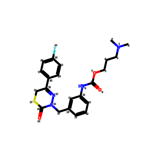 CN(C)CCCOC(=O)Nc1cccc(CN2N=C(c3ccc(F)cc3)CSC2=O)c1